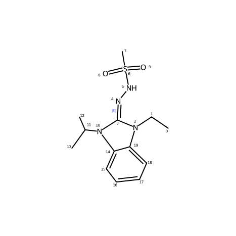 CCn1/c(=N\NS(C)(=O)=O)n(C(C)C)c2ccccc21